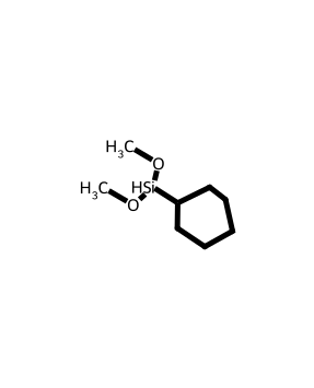 CO[SiH](OC)C1CCCCC1